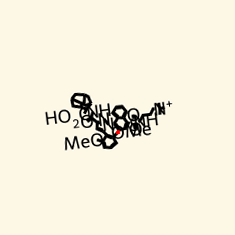 COc1cccc(OC)c1-c1cc(C(=O)NC2(C(=O)O)C3CC4CC(C3)CC2C4)nn1-c1ccc(S(=O)(=O)NCCC[N+](C)(C)C)c2ccccc12